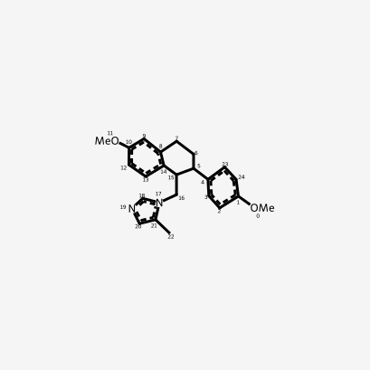 COc1ccc(C2CCc3cc(OC)ccc3C2Cn2cncc2C)cc1